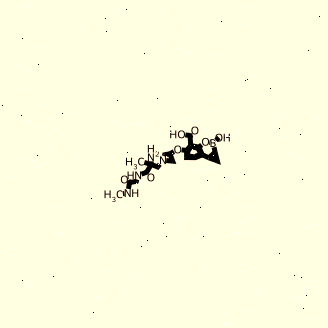 CNC(=O)CNC(=O)C(C)(N)CN1CC(Oc2ccc3c(c2C(=O)O)OB(O)C2CC32)C1